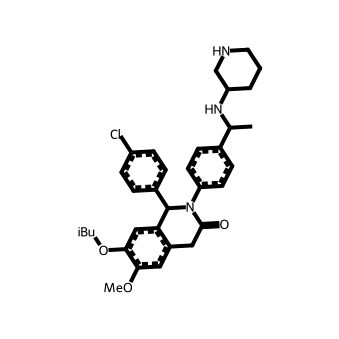 CCC(C)Oc1cc2c(cc1OC)CC(=O)N(c1ccc(C(C)NC3CCCNC3)cc1)C2c1ccc(Cl)cc1